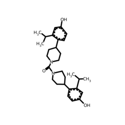 CC(C)c1cc(O)ccc1C1CCN(C(=O)N2CCC(c3ccc(O)cc3C(C)C)CC2)CC1